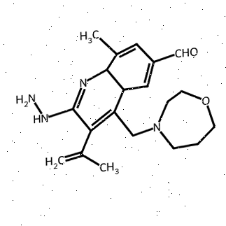 C=C(C)C1=C(CN2CCCOCC2)C2C=C(C=O)C=C(C)C2N=C1NN